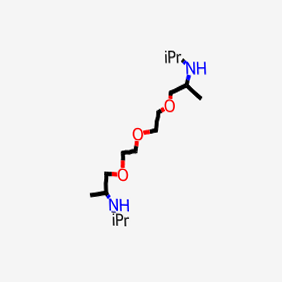 CC(C)NC(C)COCCOCCOCC(C)NC(C)C